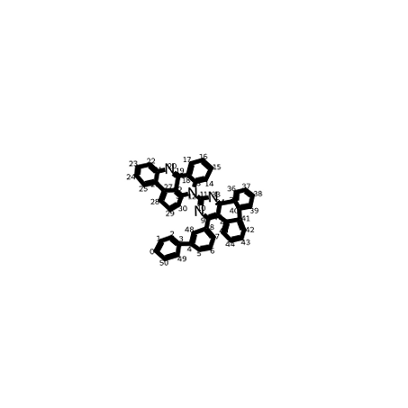 c1ccc(-c2cccc(-c3nc(N4c5ccccc5-c5nc6ccccc6c6cccc4c56)nc4c5ccccc5c5ccccc5c34)c2)cc1